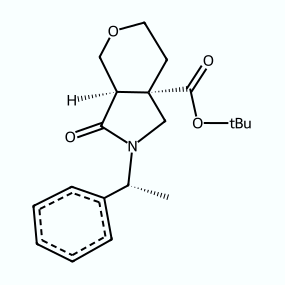 C[C@H](c1ccccc1)N1C[C@]2(C(=O)OC(C)(C)C)CCOC[C@@H]2C1=O